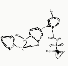 CC1(S(=O)(=O)NC(=O)c2ccc(F)cc2-c2ccc3c(c2)OC[C@H](Cc2ccccn2)[C@H]3O)CC1